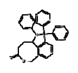 O=C1CCC(N(c2ccccc2)[Si](c2ccccc2)(c2ccccc2)c2ccccc2)CCCO1